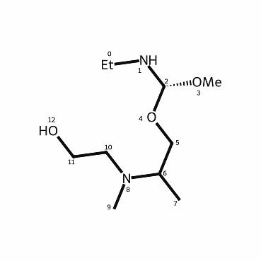 CCN[C@H](OC)OCC(C)N(C)CCO